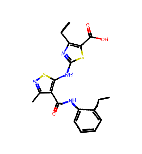 CCc1ccccc1NC(=O)c1c(C)nsc1Nc1nc(CC)c(C(=O)O)s1